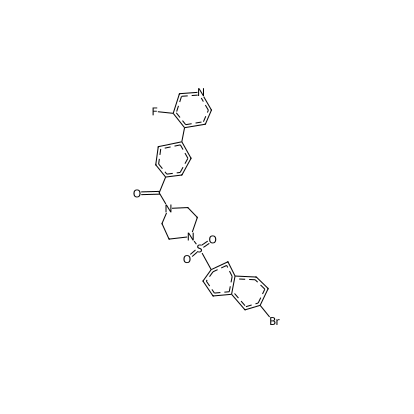 O=C(c1ccc(-c2ccncc2F)cc1)N1CCN(S(=O)(=O)c2ccc3cc(Br)ccc3c2)CC1